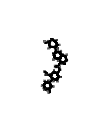 COc1cc(CNc2nccc3cc(-c4ccnc(C)c4)ncc23)ccc1-c1ccnc(C)c1